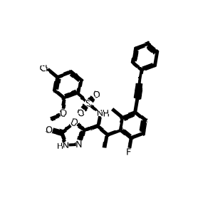 COc1cc(Cl)ccc1S(=O)(=O)NC(c1n[nH]c(=O)o1)C(C)c1c(F)ccc(C#Cc2ccccc2)c1C